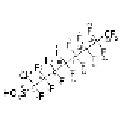 O=S(=O)(O)C(F)(Cl)C(F)(F)C(F)(F)C(F)(F)C(F)(F)C(F)(F)C(F)(F)C(F)(F)F